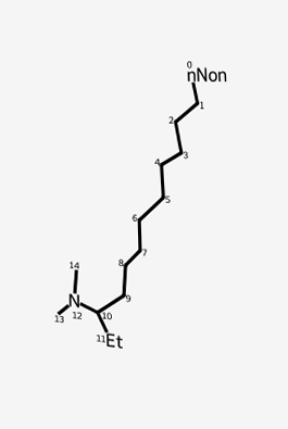 CCCCCCCCCCCCCCCCCCC(CC)N(C)C